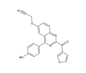 C#CCOc1ccc2nc(C(=O)c3ccoc3)nc(-c3ccc(C(C)(C)C)cc3)c2c1